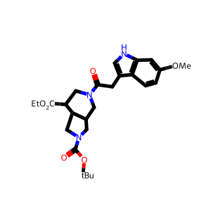 CCOC(=O)C1CN(C(=O)Cc2c[nH]c3cc(OC)ccc23)CC2CN(C(=O)OC(C)(C)C)CC21